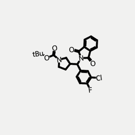 CC(C)(C)OC(=O)N1CCC(C(c2ccc(F)c(Cl)c2)N2C(=O)c3ccccc3C2=O)C1